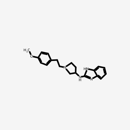 COc1ccc(CCN2CCC(Nc3nc4ccccc4[nH]3)C2)cc1